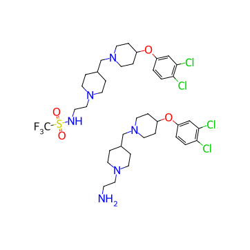 NCCN1CCC(CN2CCC(Oc3ccc(Cl)c(Cl)c3)CC2)CC1.O=S(=O)(NCCN1CCC(CN2CCC(Oc3ccc(Cl)c(Cl)c3)CC2)CC1)C(F)(F)F